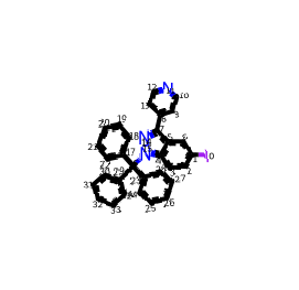 Ic1ccc2c(c1)c(-c1ccncc1)nn2C(c1ccccc1)(c1ccccc1)c1ccccc1